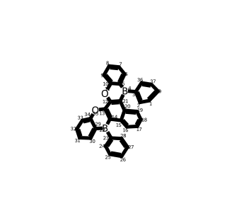 c1ccc(B2c3ccccc3Oc3c4c(c5ccccc5c32)B(c2ccccc2)c2ccccc2O4)cc1